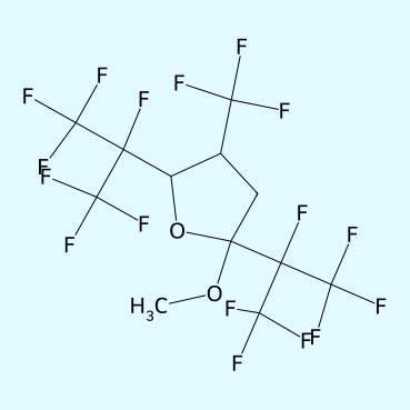 COC1(C(F)(C(F)(F)F)C(F)(F)F)CC(C(F)(F)F)C(C(F)(C(F)(F)F)C(F)(F)F)O1